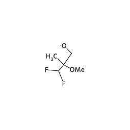 COC(C)(C[O])C(F)F